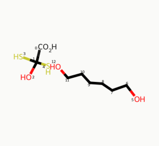 O=C(O)C(O)(S)S.OCCCCCCO